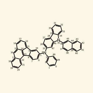 c1ccc(N(c2ccc3c(c2)-c2cccc4cc5ccccc5c-3c24)c2ccc3c4ccccc4n(-c4ccc5ccccc5c4)c3c2)cc1